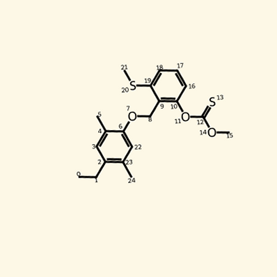 CCc1cc(C)c(OCc2c(OC(=S)OC)cccc2SC)cc1C